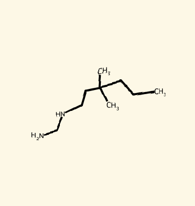 CCCC(C)(C)CCNCN